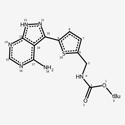 CC(C)(C)OC(=O)NCc1ccc(-c2n[nH]c3ncnc(N)c23)s1